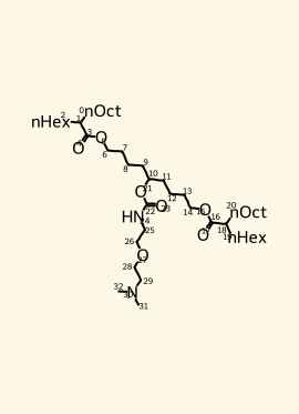 CCCCCCCCC(CCCCCC)C(=O)OCCCCC(CCCCOC(=O)C(CCCCCC)CCCCCCCC)OC(=O)NCCOCCN(C)C